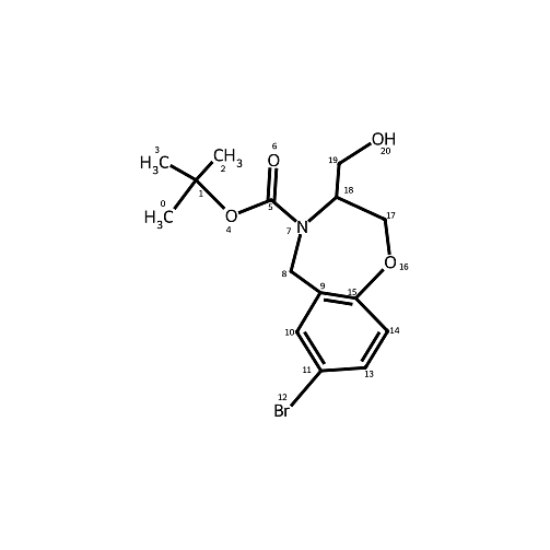 CC(C)(C)OC(=O)N1Cc2cc(Br)ccc2OCC1CO